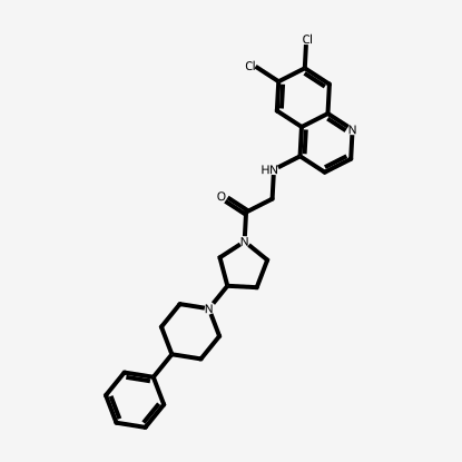 O=C(CNc1ccnc2cc(Cl)c(Cl)cc12)N1CCC(N2CCC(c3ccccc3)CC2)C1